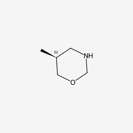 C[C@H]1CNCOC1